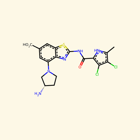 Cc1[nH]c(C(=O)Nc2nc3c(N4CC[C@H](N)C4)cc(C(=O)O)cc3s2)c(Cl)c1Cl